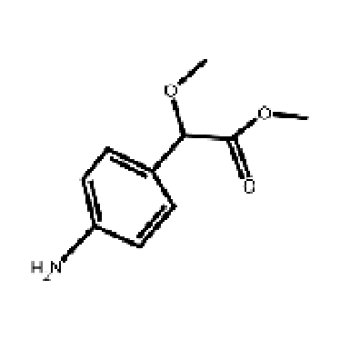 COC(=O)C(OC)c1ccc(N)cc1